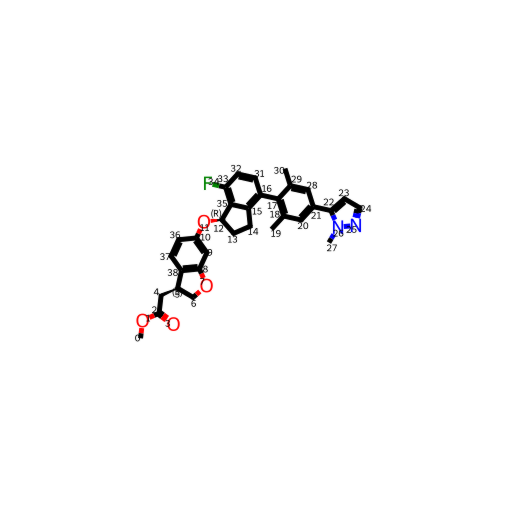 COC(=O)C[C@@H]1COc2cc(O[C@@H]3CCc4c(-c5c(C)cc(-c6ccnn6C)cc5C)ccc(F)c43)ccc21